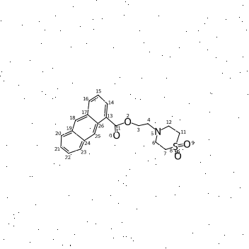 O=C(OCCN1CCS(=O)(=O)CC1)c1cccc2cc3ccccc3cc12